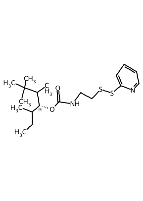 CCC(C)[C@@H](OC(=O)NCCSSc1ccccn1)C(C)C(C)(C)C